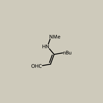 CCCC/C(=C/C=O)NNC